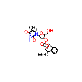 COC(COC(=O)O[C@H]1C[C@H](n2cc(C)c(=O)[nH]c2=O)O[C@@H]1CO)c1ccccc1[N+](=O)[O-]